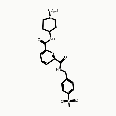 CCOC(=O)N1CCC(NC(=O)c2cccc(C(=O)NCc3ccc(S(C)(=O)=O)cc3)n2)CC1